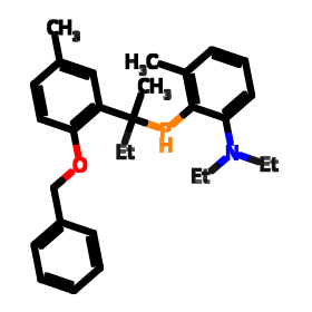 CCN(CC)c1cccc(C)c1PC(C)(CC)c1cc(C)ccc1OCc1ccccc1